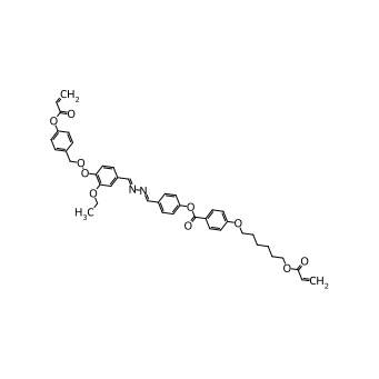 C=CC(=O)OCCCCCCOc1ccc(C(=O)Oc2ccc(/C=N/N=C/c3ccc(OOCc4ccc(OC(=O)C=C)cc4)c(OCC)c3)cc2)cc1